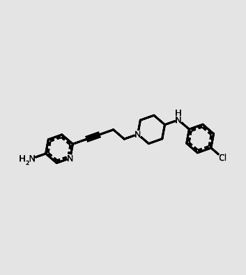 Nc1ccc(C#CCCN2CCC(Nc3ccc(Cl)cc3)CC2)nc1